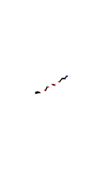 C#CCOCCOCCOCCCCN